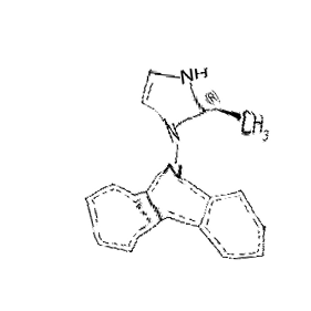 C[C@@H]1NC=CN1n1c2ccccc2c2ccccc21